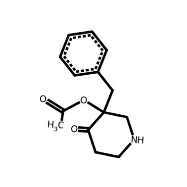 CC(=O)OC1(Cc2ccccc2)CNCCC1=O